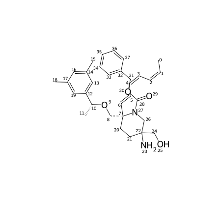 C\C=C/C=C\C=C\[C@]1(CO[C@H](C)c2cc(C)cc(C)c2)CCC(N)(CO)CN1C(=O)OCc1ccccc1